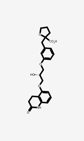 O=C1CCc2c(cccc2OC[C@H](O)COc2cccc(CC3(C(=O)O)CCCO3)c2)N1